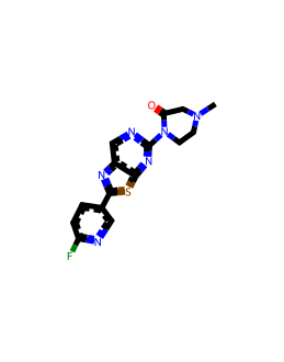 CN1CCN(c2ncc3nc(-c4ccc(F)nc4)sc3n2)C(=O)C1